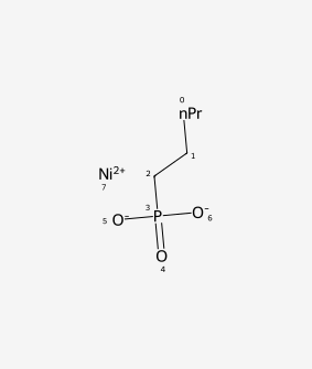 CCCCCP(=O)([O-])[O-].[Ni+2]